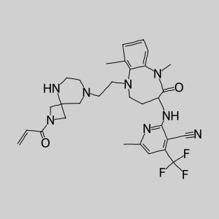 C=CC(=O)N1CC2(CN(CCN3CCC(Nc4nc(C)cc(C(F)(F)F)c4C#N)C(=O)N(C)c4cccc(C)c43)CCN2)C1